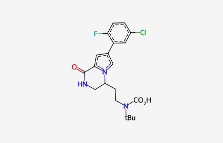 CC(C)(C)N(CCC1CNC(=O)c2cc(-c3cc(Cl)ccc3F)cn21)C(=O)O